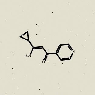 NC(=CC(=O)c1ccncc1)C1CC1